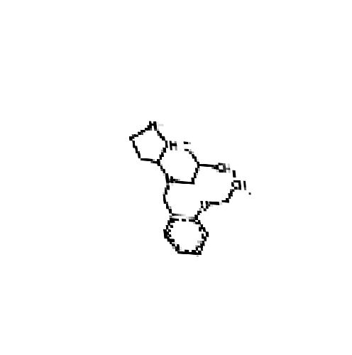 CCOc1ccccc1CN(CC(C)C)C1CCNC1